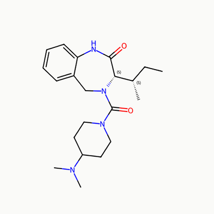 CC[C@H](C)[C@H]1C(=O)Nc2ccccc2CN1C(=O)N1CCC(N(C)C)CC1